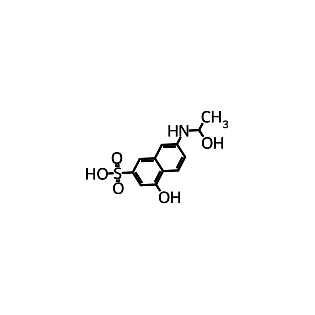 CC(O)Nc1ccc2c(O)cc(S(=O)(=O)O)cc2c1